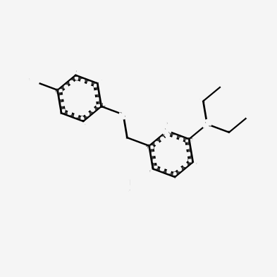 CCN(CC)c1cccc(CNc2ccc(F)cc2)n1.Cl.Cl